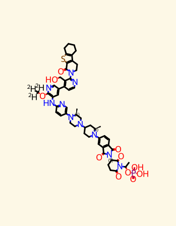 [2H]C([2H])([2H])Oc1ncc(-c2ccnc(N3CCc4c(sc5c4CCCC5)C3=O)c2CO)cc1Nc1ccc(N2CCN(C3CCN(c4ccc5c(c4)C(=O)N([C@H]4CCC(=O)N(C(C)OP(=O)(O)O)C4=O)C5=O)[C@H](C)C3)C[C@@H]2C)cn1